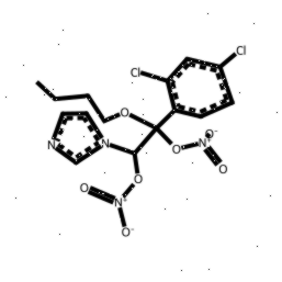 CCCCOC(O[N+](=O)[O-])(c1ccc(Cl)cc1Cl)C(O[N+](=O)[O-])n1ccnc1